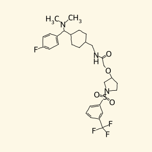 CN(C)C(c1ccc(F)cc1)C1CCC(CNC(=O)COC2CCN(S(=O)(=O)c3cccc(C(F)(F)F)c3)C2)CC1